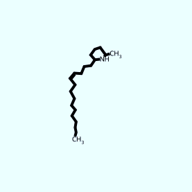 CCCCCCCCCC/C=C\CCCC1CCCC(C)N1